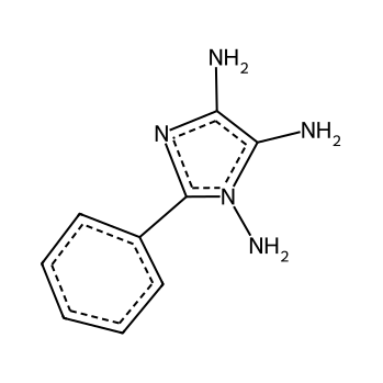 Nc1nc(-c2ccccc2)n(N)c1N